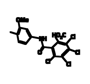 COc1cc(NC(=O)c2c(Cl)c(Cl)c(Cl)c(Cl)c2C(=O)O)ccc1C